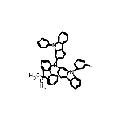 CC1(C)c2ccccc2-c2c(N(c3ccc4c5ccccc5n(-c5ccccc5)c4c3)c3ccc4c5ccccc5n(-c5cccc(F)c5)c4c3)cccc21